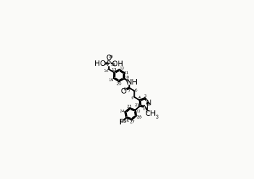 Cn1ncc(CCC(=O)Nc2ccc(CP(=O)(O)O)cc2)c1-c1ccc(F)cc1